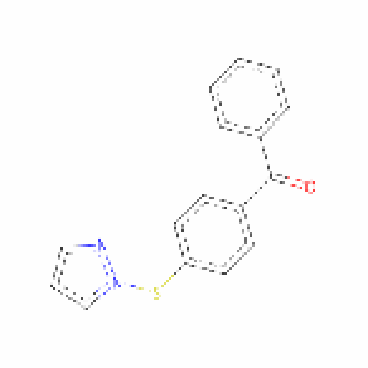 O=C(c1ccccc1)c1ccc(Sn2cccn2)cc1